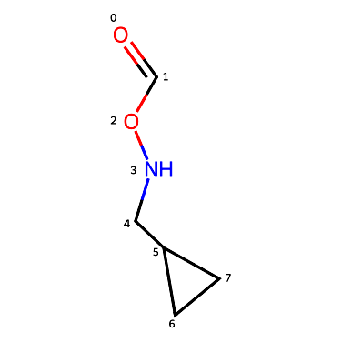 O=CONCC1CC1